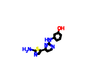 Nc1ncc(-c2ccnc(Nc3cccc(O)c3)n2)s1